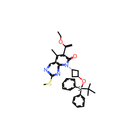 C=C(OCC)c1c(C)c2cnc(SC)nc2n([C@H]2C[C@H](O[Si](c3ccccc3)(c3ccccc3)C(C)(C)C)C2)c1=O